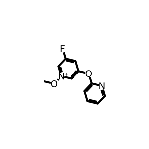 CO[n+]1cc(F)cc(Oc2ccccn2)c1